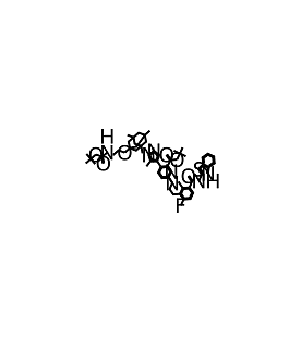 Cc1c(-c2ccc(N3CCc4c(F)ccc(C(=O)Nc5nc6ccccc6s5)c4C3)nc2C(=O)OC(C)(C)C)cnn1CC12CC3(C)CC(C)(C1)CC(OCCNC(=O)OC(C)(C)C)(C3)C2